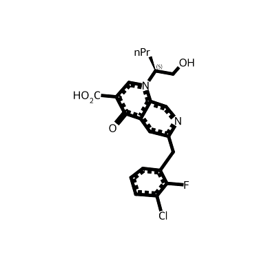 CCC[C@@H](CO)n1cc(C(=O)O)c(=O)c2cc(Cc3cccc(Cl)c3F)ncc21